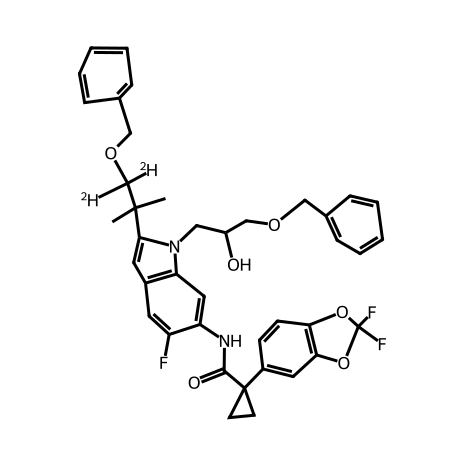 [2H]C([2H])(OCc1ccccc1)C(C)(C)c1cc2cc(F)c(NC(=O)C3(c4ccc5c(c4)OC(F)(F)O5)CC3)cc2n1CC(O)COCc1ccccc1